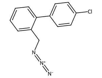 [N-]=[N+]=NCc1ccccc1-c1ccc(Cl)cc1